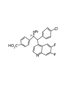 CCC[C@H](c1ccc(C(=O)O)cc1)C(c1ccc(Cl)cc1)c1ccnc2cc(F)c(F)cc12